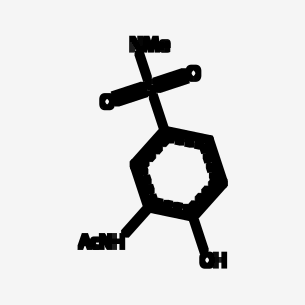 CNS(=O)(=O)c1ccc(O)c(NC(C)=O)c1